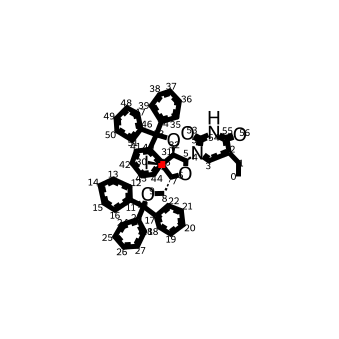 CCc1cn([C@@H]2O[C@H](COC(c3ccccc3)(c3ccccc3)c3ccccc3)[C@@H](I)[C@H]2OC(c2ccccc2)(c2ccccc2)c2ccccc2)c(=O)[nH]c1=O